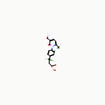 NC(=O)c1ccc(C(F)(F)F)n(-c2ccc(C(F)(F)CC3COCO3)cc2)c1=O